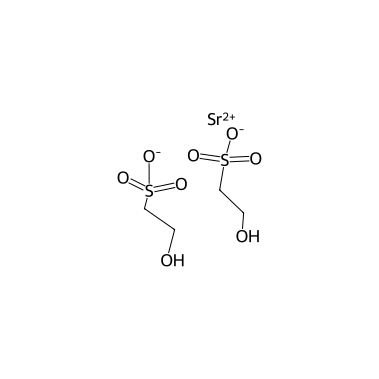 O=S(=O)([O-])CCO.O=S(=O)([O-])CCO.[Sr+2]